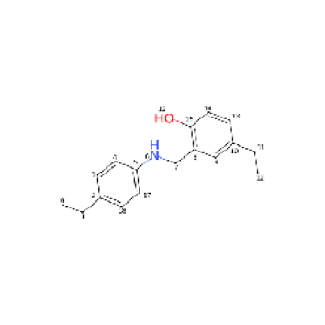 CCc1ccc(NCc2cc(CC)ccc2O)cc1